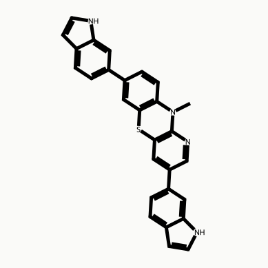 CN1c2ccc(-c3ccc4cc[nH]c4c3)cc2Sc2cc(-c3ccc4cc[nH]c4c3)cnc21